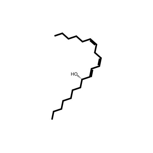 CCCCC/C=C\C/C=C\C=C\[C@@H](O)CCCCCCC